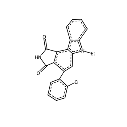 CCn1c2ccccc2c2c3c(c(-c4ccccc4Cl)cc21)C(=O)NC3=O